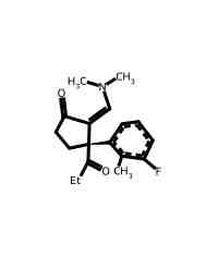 CCC(=O)[C@]1(c2cccc(F)c2C)CCC(=O)/C1=C\N(C)C